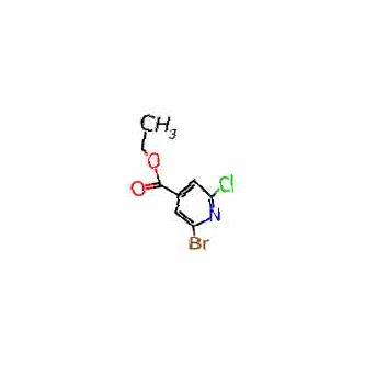 CCOC(=O)c1cc(Cl)nc(Br)c1